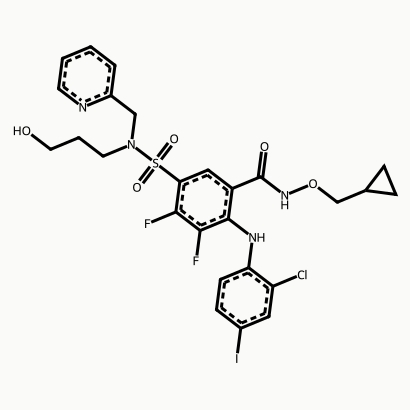 O=C(NOCC1CC1)c1cc(S(=O)(=O)N(CCCO)Cc2ccccn2)c(F)c(F)c1Nc1ccc(I)cc1Cl